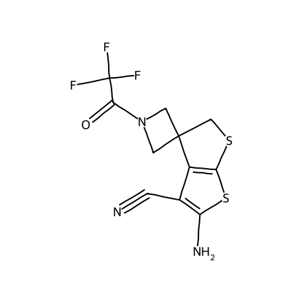 N#Cc1c(N)sc2c1C1(CS2)CN(C(=O)C(F)(F)F)C1